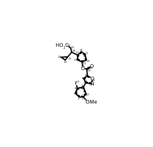 COc1ccc(F)c(-c2cc(C(=O)Oc3cccc(C(CC(=O)O)C4CC4)c3)on2)c1